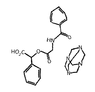 C1N2CN3CN1CN(C2)C3.O=C(CNC(=O)c1ccccc1)OC(C(=O)O)c1ccccc1